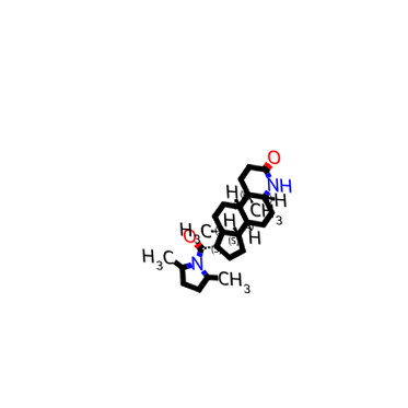 CC1CCC(C)N1C(=O)[C@H]1CC[C@H]2[C@@H]3CC[C@H]4NC(=O)CC[C@]4(C)[C@H]3CC[C@]12C